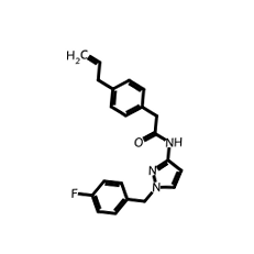 C=CCc1ccc(CC(=O)Nc2ccn(Cc3ccc(F)cc3)n2)cc1